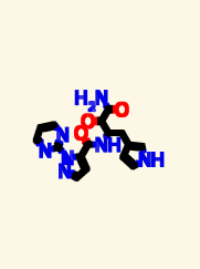 NC(=O)C(=O)C(Cc1cc[nH]c1)NC(=O)c1ccnn1-c1ncccn1